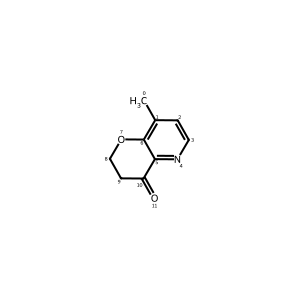 Cc1ccnc2c1OCCC2=O